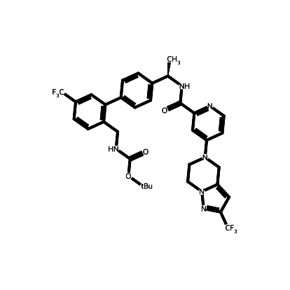 C[C@@H](NC(=O)c1cc(N2CCn3nc(C(F)(F)F)cc3C2)ccn1)c1ccc(-c2cc(C(F)(F)F)ccc2CNC(=O)OC(C)(C)C)cc1